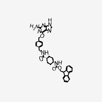 Nc1nc(OCc2ccc(CNC(=O)[C@H]3CC[C@@H](NC(=O)OCC4c5ccccc5-c5ccccc54)CC3)cc2)c2nc[nH]c2n1